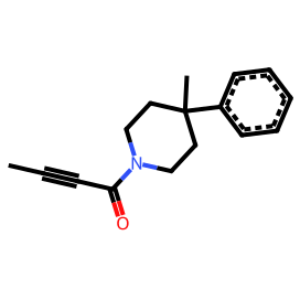 CC#CC(=O)N1CCC(C)(c2ccccc2)CC1